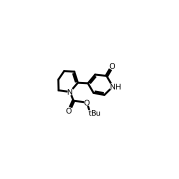 CC(C)(C)OC(=O)N1CCCC=C1c1cc[nH]c(=O)c1